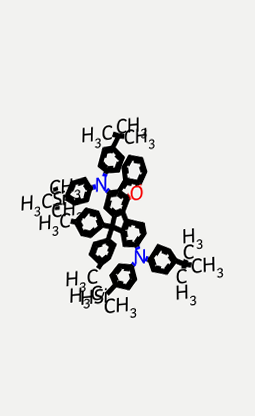 Cc1ccc(C2(c3ccc(C)cc3)c3cc(N(c4ccc([SiH](C)C)cc4)c4ccc(C(C)(C)C)cc4)ccc3-c3c2cc(N(c2ccc(C(C)(C)C)cc2)c2ccc([Si](C)(C)C)cc2)c2c3oc3ccccc32)cc1